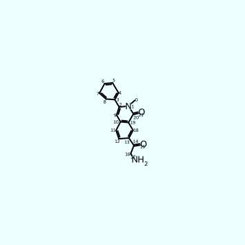 Cn1c(-c2ccccc2)cc2ccc(C(=O)CN)cc2c1=O